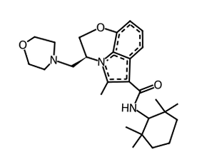 Cc1c(C(=O)NC2C(C)(C)CCCC2(C)C)c2cccc3c2n1[C@@H](CN1CCOCC1)CO3